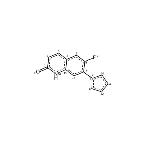 O=c1ccc2cc(F)c(-n3cccc3)cc2[nH]1